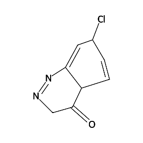 O=C1CN=NC2=CC(Cl)C=CC12